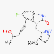 COc1cc[nH]c1C=C1C(=O)Nc2ccc(F)c(C#CCC(C)O)c21